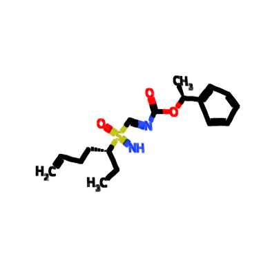 C=CCC[C@@H](CC)S(=N)(=O)/C=N/C(=O)O[C@@H](C)c1ccccc1